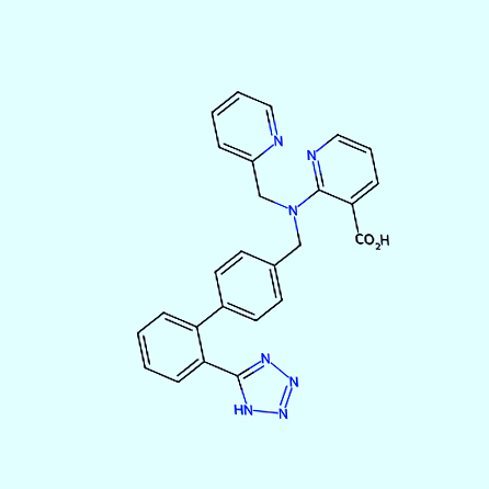 O=C(O)c1cccnc1N(Cc1ccc(-c2ccccc2-c2nnn[nH]2)cc1)Cc1ccccn1